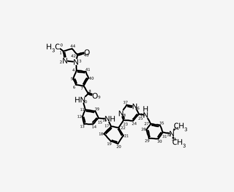 CC1=NN(c2ccc(C(=O)Nc3cccc(Nc4ccccc4-c4cc(Nc5cccc(N(C)C)c5)ncn4)c3)cc2)C(=O)C1